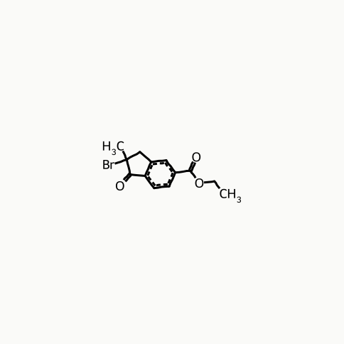 CCOC(=O)c1ccc2c(c1)CC(C)(Br)C2=O